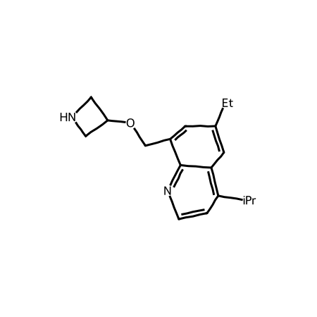 CCc1cc(COC2CNC2)c2nccc(C(C)C)c2c1